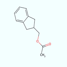 CC(=O)OCC1Cc2ccccc2C1